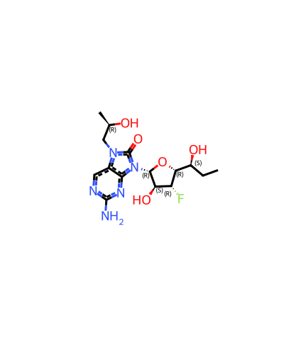 CC[C@H](O)[C@H]1O[C@@H](n2c(=O)n(C[C@@H](C)O)c3cnc(N)nc32)[C@H](O)[C@H]1F